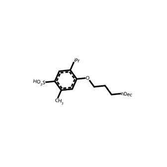 CCCCCCCCCCCCCOc1cc(C)c(S(=O)(=O)O)cc1C(C)C